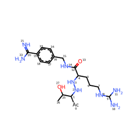 CC(=O)C(NNC(CCCNC(N)N)C(=O)NCc1ccc(C(=N)N)cc1)C(C)O